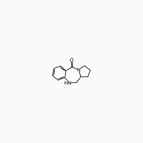 O=C1c2ccccc2NCC2CCCN12